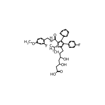 COc1ccc(CNC(=O)c2c(-c3ccccc3)c(-c3ccc(F)cc3)c(CCC(O)CC(O)CC(=O)O)n2C(C)C)c(F)c1